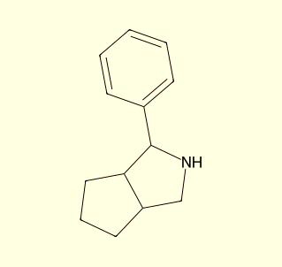 c1ccc(C2NCC3CCCC32)cc1